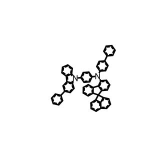 c1ccc(-c2ccc(N(c3ccc(-n4c5ccccc5c5cc(-c6ccccc6)ccc54)cc3)c3cccc4c3-c3ccccc3C43c4cccc5cccc3c45)cc2)cc1